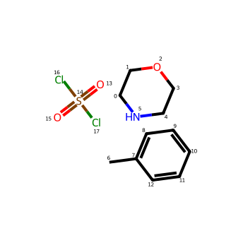 C1COCCN1.Cc1ccccc1.O=S(=O)(Cl)Cl